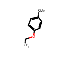 CSc1ccc(OCC(F)(F)F)cc1